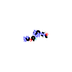 C=CC(=O)N1[C@H](C)CN(c2ccc3ncnc(Nc4ccc(Oc5cnc6c(c5)ncn6C)c(C)c4F)c3n2)C[C@@H]1C